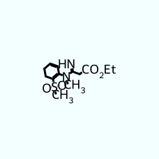 CCOC(=O)CC(=N)N(C)C1=C(S(C)(=O)=O)CCC=C1